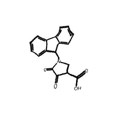 O=C(O)C1CN(C2c3ccccc3-c3ccccc32)C(=O)C1=O